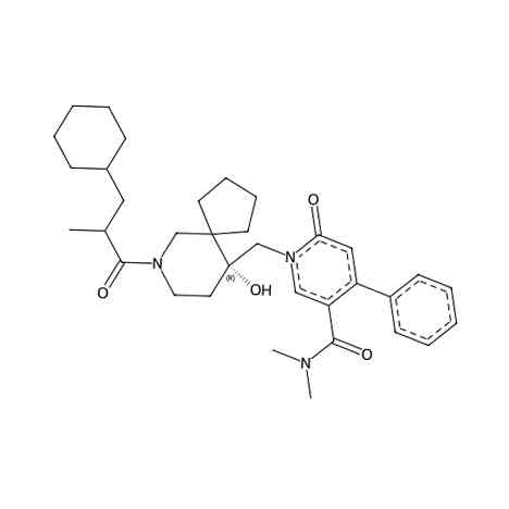 CC(CC1CCCCC1)C(=O)N1CC[C@](O)(Cn2cc(C(=O)N(C)C)c(-c3ccccc3)cc2=O)C2(CCCC2)C1